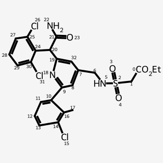 CCOC(=O)CS(=O)(=O)NCc1cc(-c2cccc(Cl)c2C)nc(C(C(N)=O)c2c(Cl)cccc2Cl)c1